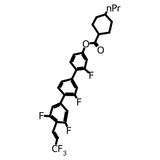 CCCC1CCC(C(=O)Oc2ccc(-c3ccc(-c4cc(F)c(/C=C/C(F)(F)F)c(F)c4)c(F)c3)c(F)c2)CC1